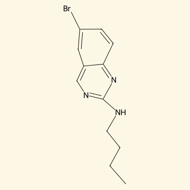 CCCCNc1ncc2cc(Br)ccc2n1